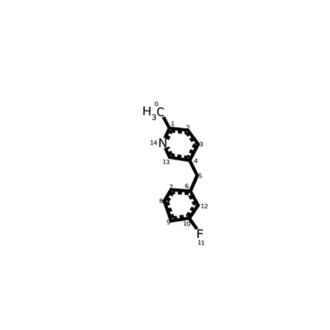 Cc1ccc(Cc2cccc(F)c2)cn1